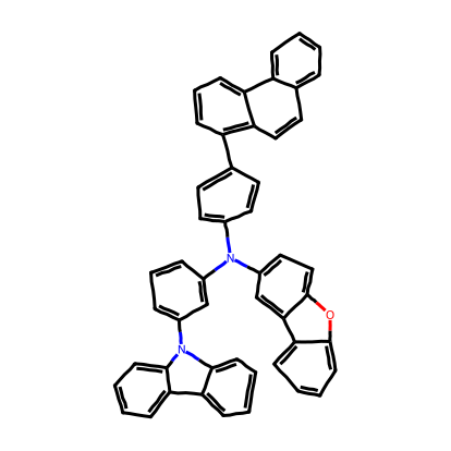 c1cc(N(c2ccc(-c3cccc4c3ccc3ccccc34)cc2)c2ccc3oc4ccccc4c3c2)cc(-n2c3ccccc3c3ccccc32)c1